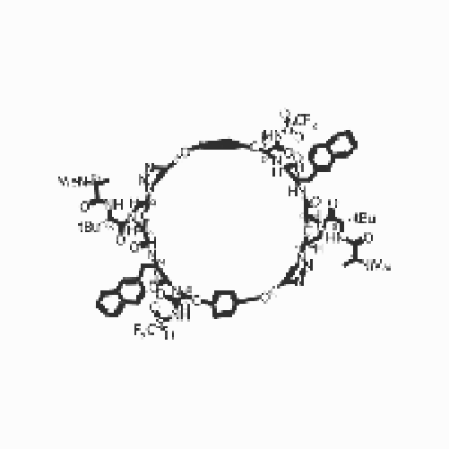 CN[C@@H](C)C(=O)N[C@H](C(=O)N1C[C@@H]2C[C@H]1C(=O)N[C@@H](Cc1ccc3ccccc3c1)C(=O)N[C@H](C(=O)NS(=O)(=O)C(F)(F)F)Cc1ccc(cc1)OCc1cn(nn1)[C@H]1C[C@@H](C(=O)N[C@@H](Cc3ccc4ccccc4c3)C(=O)N[C@H](C(=O)NS(=O)(=O)C(F)(F)F)Cc3ccc(cc3)OCc3cn2nn3)N(C(=O)[C@@H](NC(=O)[C@H](C)NC)C(C)(C)C)C1)C(C)(C)C